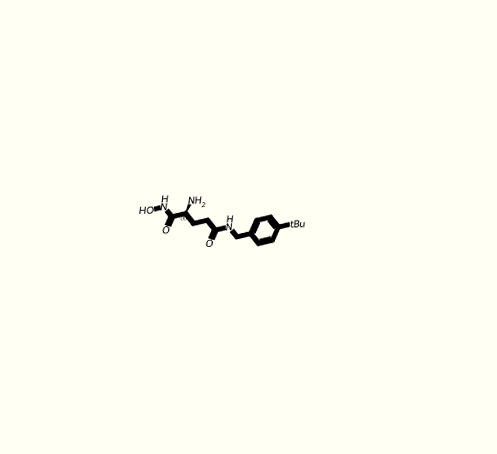 CC(C)(C)c1ccc(CNC(=O)CC[C@H](N)C(=O)NO)cc1